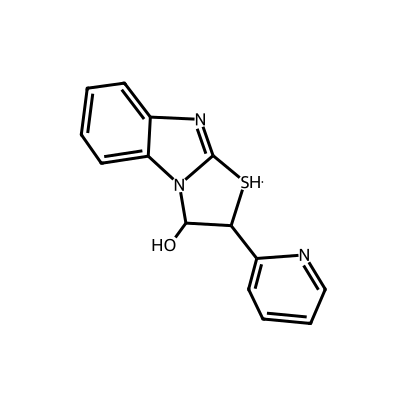 OC1C(c2ccccn2)[SH]c2nc3ccccc3n21